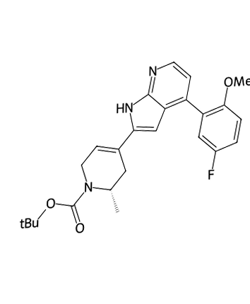 COc1ccc(F)cc1-c1ccnc2[nH]c(C3=CCN(C(=O)OC(C)(C)C)[C@@H](C)C3)cc12